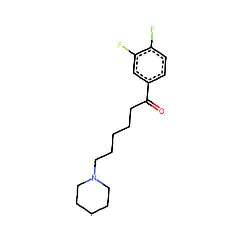 O=C(CCCCCN1CC[CH]CC1)c1ccc(F)c(F)c1